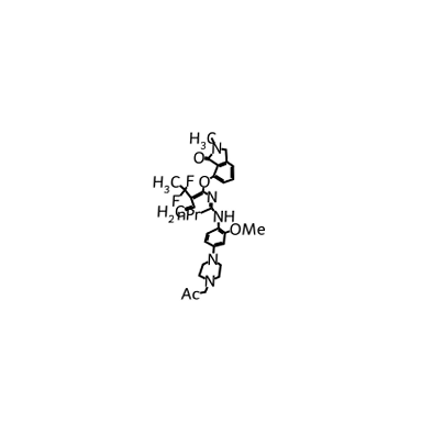 C=C/C(=C(\N=C(/CCC)Nc1ccc(N2CCN(CC(C)=O)CC2)cc1OC)Oc1cccc2c1C(=O)N(C)C2)C(C)(F)F